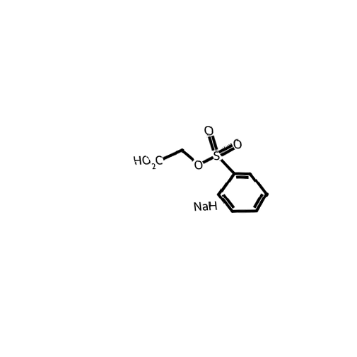 O=C(O)COS(=O)(=O)c1ccccc1.[NaH]